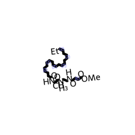 CC/C=C\C/C=C\C/C=C\C/C=C\C/C=C\C/C=C\CCC(=O)N[C@@H](C)C(=O)NCCNC(=O)/C=C/C(=O)OC